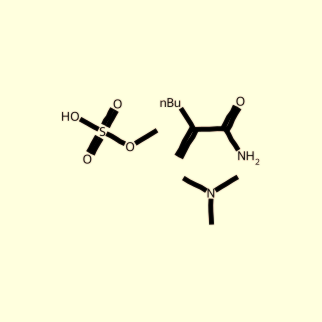 C=C(CCCC)C(N)=O.CN(C)C.COS(=O)(=O)O